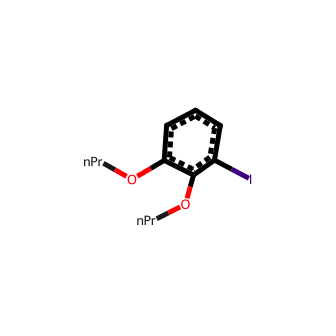 CCCOc1cccc(I)c1OCCC